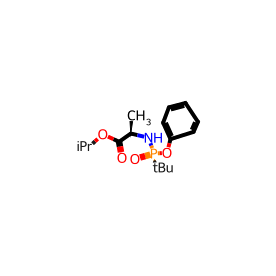 CC(C)OC(=O)[C@@H](C)N[P@@](=O)(Oc1ccccc1)C(C)(C)C